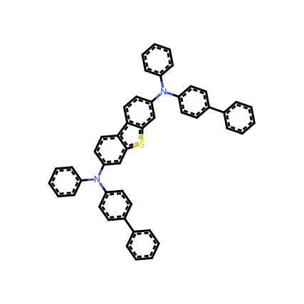 c1ccc(-c2ccc(N(c3ccccc3)c3ccc4c(c3)sc3cc(N(c5ccccc5)c5ccc(-c6ccccc6)cc5)ccc34)cc2)cc1